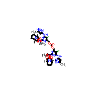 CCS(=O)(=O)N1[C@@H]2CCC[C@H]1C[C@@H](N(C)c1nc(COC(=O)OCc3nc(N(C)[C@H]4C[C@H]5CCC[C@@H](C4)N5S(=O)(=O)CC)nc(Nc4cc(C)[nH]n4)c3F)c(F)c(Nc3cc(C)[nH]n3)n1)C2